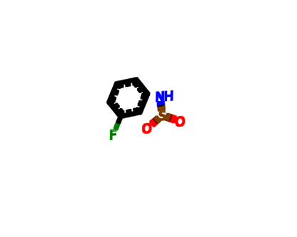 Fc1ccccc1.N=S(=O)=O